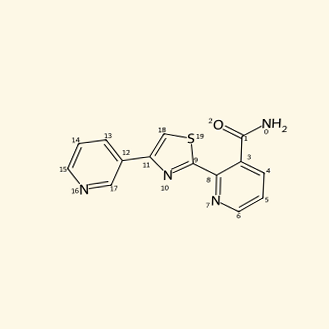 NC(=O)c1cccnc1-c1nc(-c2cccnc2)cs1